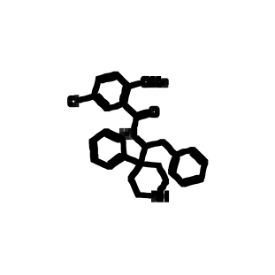 COc1ccc(Cl)cc1C(=O)NC(Cc1ccccc1)C1(c2ccccc2)CCNCC1